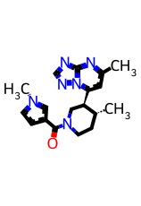 Cc1cc([C@@H]2CN(C(=O)c3ccn(C)c3)CC[C@H]2C)n2ncnc2n1